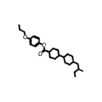 CCCOc1ccc(OC(=O)C2CCC(C3CCC(CC(C)CC)CC3)CC2)cc1